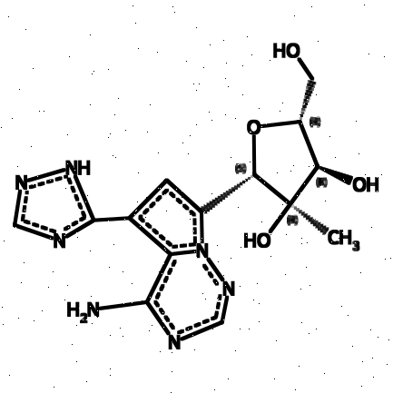 C[C@@]1(O)[C@H](O)[C@@H](CO)O[C@H]1c1cc(-c2ncn[nH]2)c2c(N)ncnn12